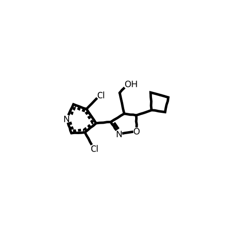 OCC1C(c2c(Cl)cncc2Cl)=NOC1C1CCC1